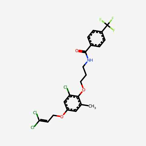 Cc1cc(OCC=C(Cl)Cl)cc(Cl)c1OCCCNC(=O)c1ccc(C(F)(F)F)cc1